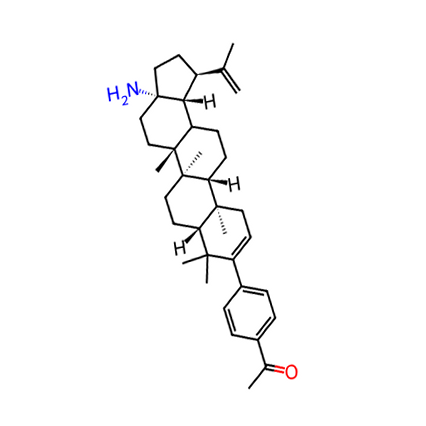 C=C(C)[C@@H]1CC[C@]2(N)CC[C@]3(C)C(CC[C@@H]4[C@@]5(C)CC=C(c6ccc(C(C)=O)cc6)C(C)(C)[C@@H]5CC[C@]43C)[C@@H]12